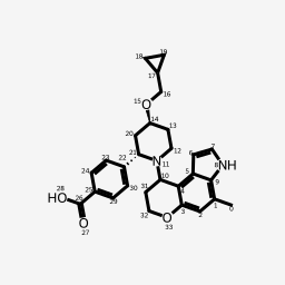 Cc1cc2c(c3cc[nH]c13)C(N1CC[C@H](OCC3CC3)C[C@H]1c1ccc(C(=O)O)cc1)CCO2